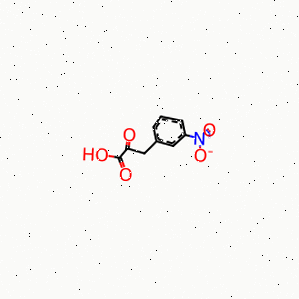 O=C(O)C(=O)Cc1cccc([N+](=O)[O-])c1